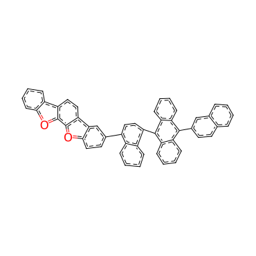 c1ccc2cc(-c3c4ccccc4c(-c4ccc(-c5ccc6oc7c(ccc8c9ccccc9oc87)c6c5)c5ccccc45)c4ccccc34)ccc2c1